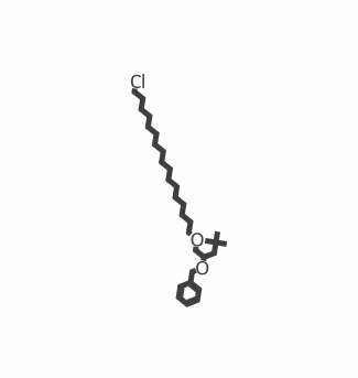 CC(C)(C)CC(COCCCCCCCCCCCCCCCCCCl)OCc1ccccc1